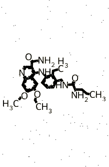 CCC[C@H](N)C(=O)NCc1cccc(Nc2c(C(N)=O)cnc3cc(OCC)c(OCC)cc23)c1CC